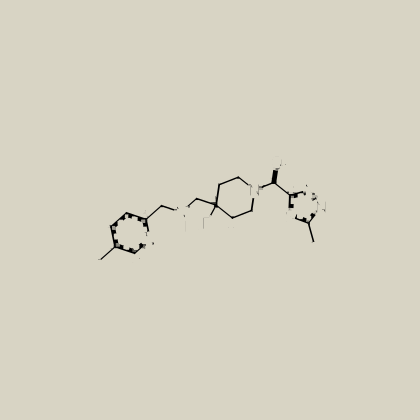 Cc1ccc(CNCC2(F)CCN(C(=O)c3nnc(C)s3)CC2)nc1